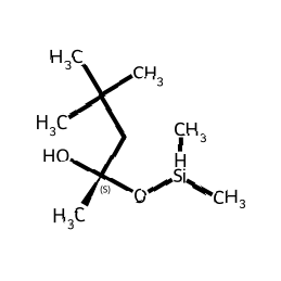 C[SiH](C)O[C@](C)(O)CC(C)(C)C